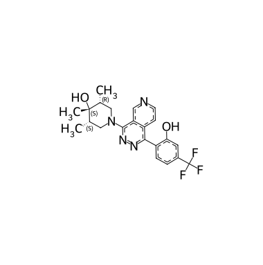 C[C@@H]1CN(c2nnc(-c3ccc(C(F)(F)F)cc3O)c3ccncc23)C[C@H](C)[C@]1(C)O